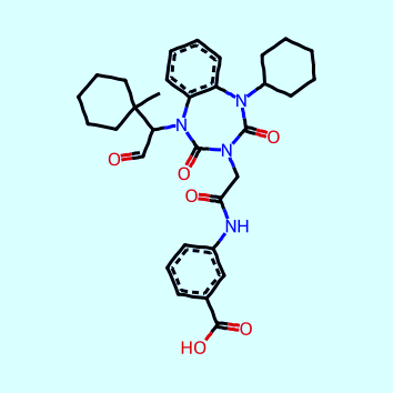 CC1(C(C=O)N2C(=O)N(CC(=O)Nc3cccc(C(=O)O)c3)C(=O)N(C3CCCCC3)c3ccccc32)CCCCC1